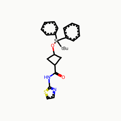 CC(C)(C)[Si](OC1CC(C(=O)Nc2nccs2)C1)(c1ccccc1)c1ccccc1